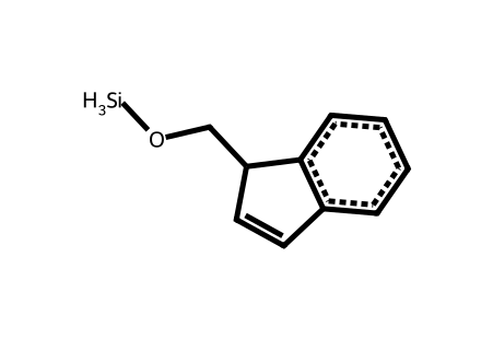 [SiH3]OCC1C=Cc2ccccc21